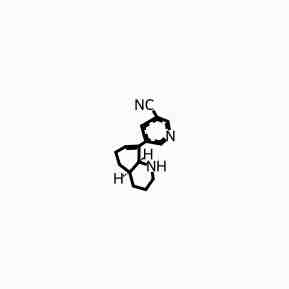 N#Cc1cncc(C2=CCC[C@@H]3CCCN[C@H]23)c1